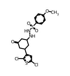 COc1ccc(S(=O)(=O)NNC2CC(=O)CC(c3cc(Cl)sc3Cl)C2)cc1